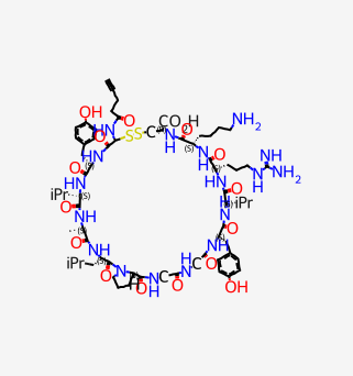 C#CCCC(=O)NC1SSC[C@@H](C(=O)O)NC(=O)[C@H](CCCCN)NC(=O)[C@H](CCCNC(=N)N)NC(=O)[C@H](C(C)C)NC(=O)[C@H](Cc2ccc(O)cc2)NC(=O)CNC(=O)CNC(=O)[C@@H]2CCCN2C(=O)[C@H](CC(C)C)NC(=O)[C@H](C)NC(=O)[C@H](C(C)C)NC(=O)[C@H](Cc2ccc(O)cc2)NC1=O